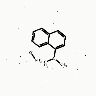 CN(C)c1cccc2ccccc12.[NH3+][O-]